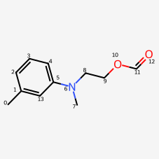 Cc1cccc(N(C)CCOC=O)c1